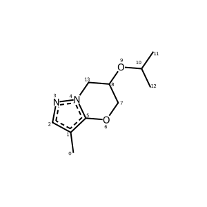 Cc1cnn2c1OCC(OC(C)C)C2